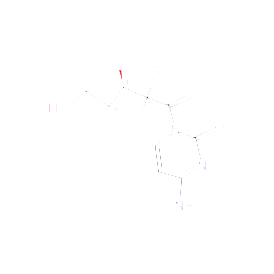 Cc1cn(C(=O)C(F)(F)[C@H](O)[C@H](O)CO)c(=O)nc1N